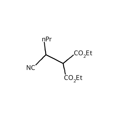 CCCC(C#N)C(C(=O)OCC)C(=O)OCC